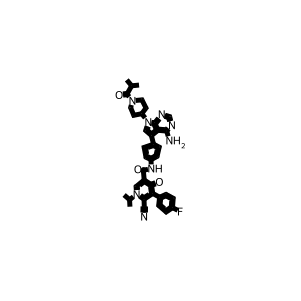 CC(C)C(=O)N1CCC(n2cc(-c3ccc(NC(=O)c4cn(C(C)C)c(C#N)c(-c5ccc(F)cc5)c4=O)cc3)c3c(N)ncnc32)CC1